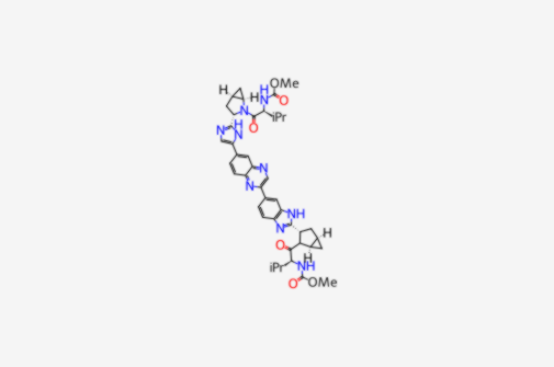 COC(=O)N[C@H](C(=O)C1[C@H](c2nc3ccc(-c4cnc5cc(-c6cnc([C@@H]7C[C@H]8C[C@H]8N7C(=O)[C@@H](NC(=O)OC)C(C)C)[nH]6)ccc5n4)cc3[nH]2)C[C@H]2C[C@@H]12)C(C)C